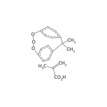 C=C(C)C(=O)O.CC1(C)c2ccc(cc2)OOOc2ccc1cc2